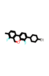 CCC1CCC(c2ccc3c(c2F)OCc2c-3ccc(C)c2F)CC1